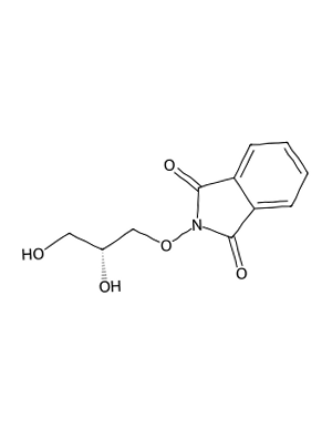 O=C1c2ccccc2C(=O)N1OC[C@H](O)CO